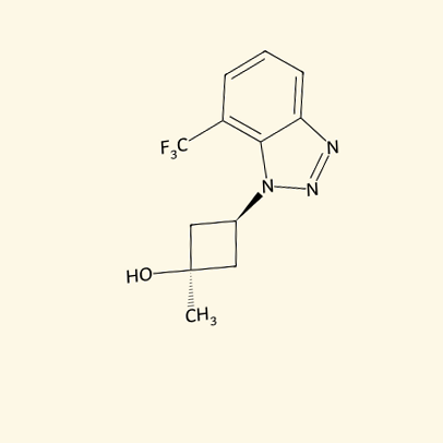 C[C@]1(O)C[C@@H](n2nnc3cccc(C(F)(F)F)c32)C1